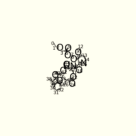 CCOCC(=O)OCOc1c(OC)ccnc1C(=O)NC1COC(=O)C(Cc2ccccc2)C(OC(=O)C(C)C)C(C)OC1=O